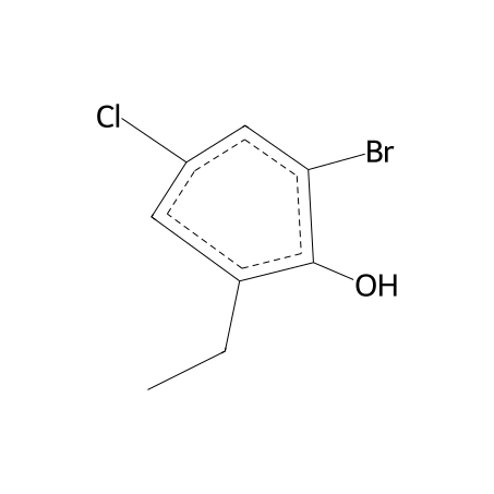 CCc1cc(Cl)cc(Br)c1O